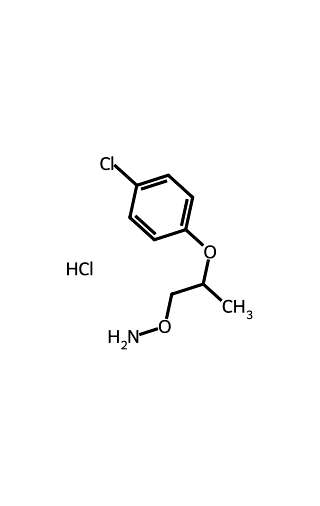 CC(CON)Oc1ccc(Cl)cc1.Cl